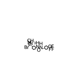 Cn1cc(Br)c(-c2cccc(NC(=O)NCc3ccc(OC(F)(F)F)cc3)c2)n1